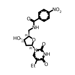 CCc1cn([C@H]2C[C@H](O)[C@@H](CNC(=O)c3ccc([N+](=O)[O-])cc3)O2)c(=O)[nH]c1=O